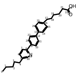 CCCCCc1ccc(-c2ccc(-c3ccc(CCCCCC(=O)O)cc3)cc2)nc1